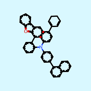 C1=CC(c2ccc(N(c3ccc(-c4cccc5ccccc45)cc3)c3ccccc3-c3cccc4c3oc3ccccc34)cc2)=CCC1